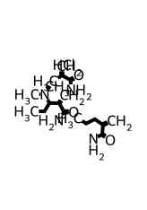 C=C(C(N)=O)C(CC)N(C)C.C=C(C)C(N)=O.C=C(CCC)C(N)=O.Cl